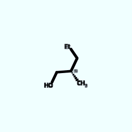 CCC[C@H](C)CO